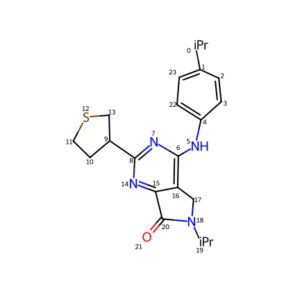 CC(C)c1ccc(Nc2nc(C3CCSC3)nc3c2CN(C(C)C)C3=O)cc1